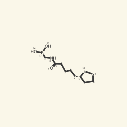 O=C(CCCC[C@H]1CCSS1)NCB(O)O